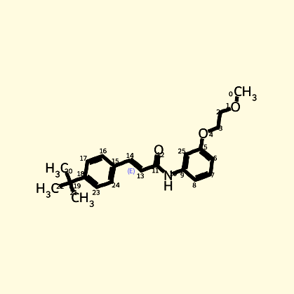 COCCOc1cccc(NC(=O)/C=C/c2ccc(C(C)(C)C)cc2)c1